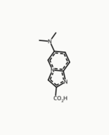 CN(C)c1ccc2nc(C(=O)O)cn2c1